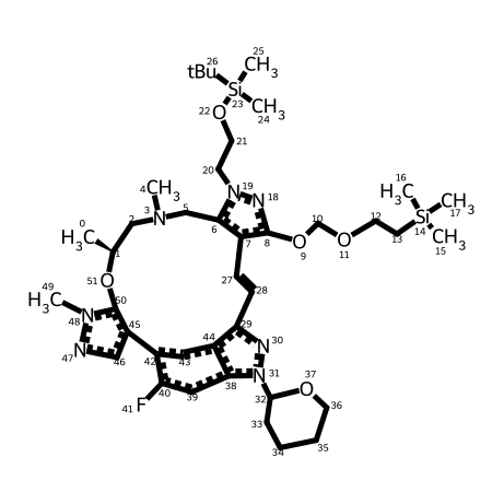 C[C@H]1CN(C)Cc2c(c(OCOCC[Si](C)(C)C)nn2CCO[Si](C)(C)C(C)(C)C)/C=C/c2nn(C3CCCCO3)c3cc(F)c(cc23)-c2cnn(C)c2O1